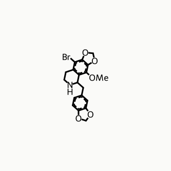 COc1c2c(c(Br)c3c1C(Cc1ccc4c(c1)OCO4)NCC3)OCO2